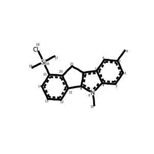 Cc1ccc2c(c1)c1c(n2C)-c2cccc([Si](C)(C)Cl)c2C1